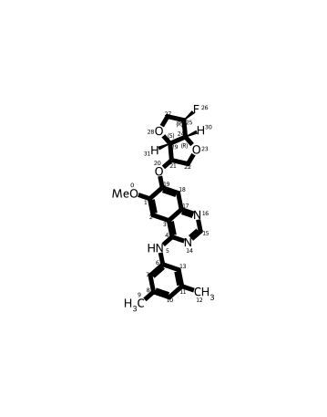 COc1cc2c(Nc3cc(C)cc(C)c3)ncnc2cc1OC1CO[C@H]2[C@H](F)CO[C@@H]12